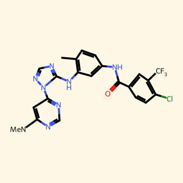 CNc1cc(-n2ncnc2Nc2cc(NC(=O)c3ccc(Cl)c(C(F)(F)F)c3)ccc2C)ncn1